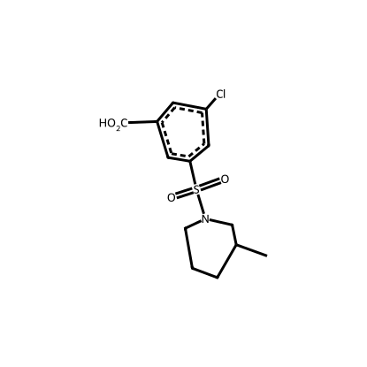 CC1CCCN(S(=O)(=O)c2cc(Cl)cc(C(=O)O)c2)C1